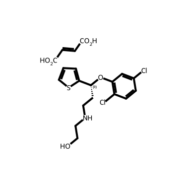 O=C(O)C=CC(=O)O.OCCNCC[C@@H](Oc1cc(Cl)ccc1Cl)c1cccs1